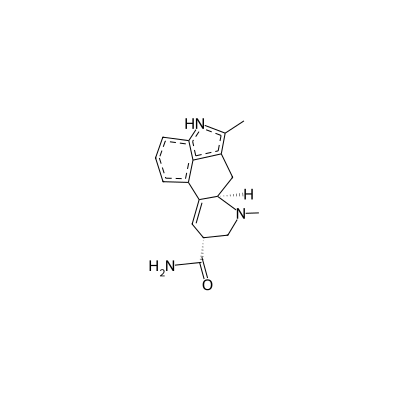 Cc1[nH]c2cccc3c2c1C[C@@H]1C3=C[C@@H](C(N)=O)CN1C